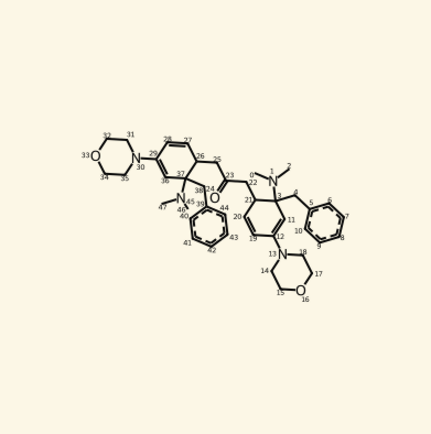 CN(C)C1(Cc2ccccc2)C=C(N2CCOCC2)C=CC1CC(=O)CC1C=CC(N2CCOCC2)=CC1(Cc1ccccc1)N(C)C